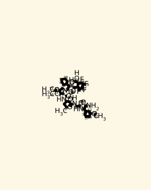 CCCC(NC(=O)[C@@H]1C[C@@H](OC(C)(C)C)CN1C(=O)[C@@H](NC(=O)c1c(F)c(F)c(F)c(F)c1C(=O)O)C1CCCCC1)C(=O)C(=O)NCC(=O)NC(C(N)=O)c1cccc(OC)c1